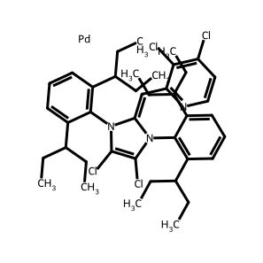 CCC(CC)c1cccc(C(CC)CC)c1N1C(=Cc2nccc(Cl)c2Cl)N(c2c(C(CC)CC)cccc2C(CC)CC)C(Cl)=C1Cl.[Pd]